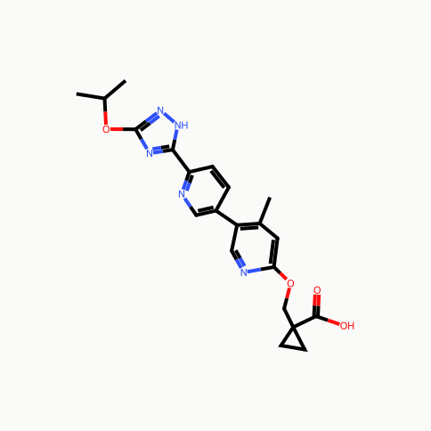 Cc1cc(OCC2(C(=O)O)CC2)ncc1-c1ccc(-c2nc(OC(C)C)n[nH]2)nc1